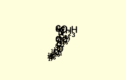 CN(CCC(Oc1ccc(Oc2ccc(C3CCCC3)cc2)cc1)c1ccccc1)CC(=O)O